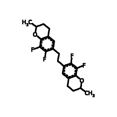 CC1CCc2cc(CCc3cc4c(c(F)c3F)OC(C)CC4)c(F)c(F)c2O1